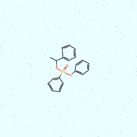 CC(OP(=O)(Oc1ccccc1)c1ccccc1)c1ccccc1